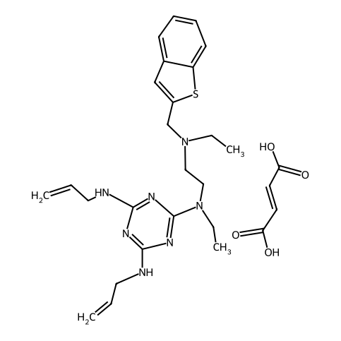 C=CCNc1nc(NCC=C)nc(N(CC)CCN(CC)Cc2cc3ccccc3s2)n1.O=C(O)C=CC(=O)O